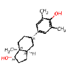 Cc1cc([C@H]2CC[C@@]3(C)[C@H](CC[C@@H]3O)C2)cc(C)c1O